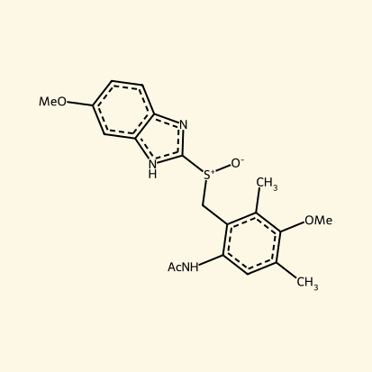 COc1ccc2nc([S+]([O-])Cc3c(NC(C)=O)cc(C)c(OC)c3C)[nH]c2c1